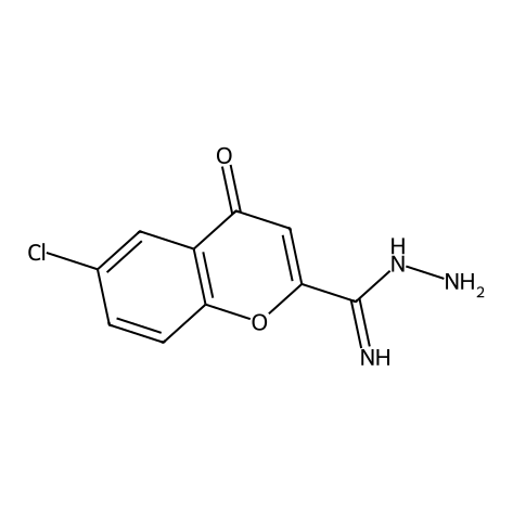 N=C(NN)c1cc(=O)c2cc(Cl)ccc2o1